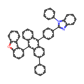 c1ccc(-c2ccc3c(-c4ccc(-c5nc6ccccc6n5-c5ccccc5)cc4)c4ccccc4c(-c4cccc5oc6ccccc6c45)c3c2)cc1